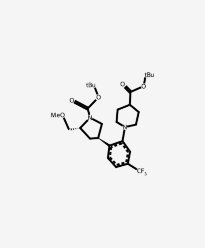 COC[C@H]1C[C@H](c2ccc(C(F)(F)F)cc2N2CCC(C(=O)OC(C)(C)C)CC2)CN1C(=O)OC(C)(C)C